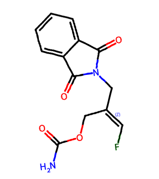 NC(=O)OC/C(=C\F)CN1C(=O)c2ccccc2C1=O